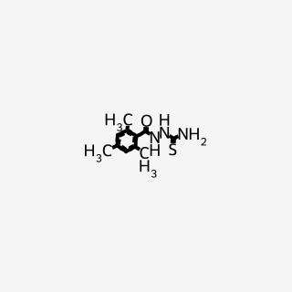 Cc1cc(C)c(C(=O)NNC(N)=S)c(C)c1